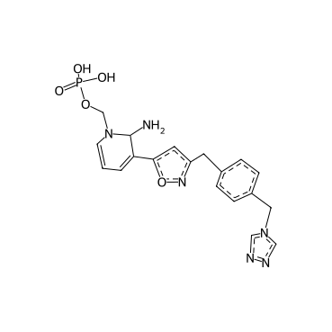 NC1C(c2cc(Cc3ccc(Cn4cnnc4)cc3)no2)=CC=CN1COP(=O)(O)O